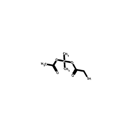 CC(=O)O[Si](C)(C)OC(=O)CS